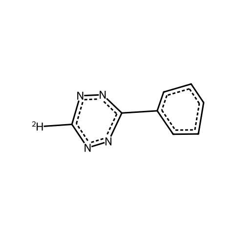 [2H]c1nnc(-c2ccccc2)nn1